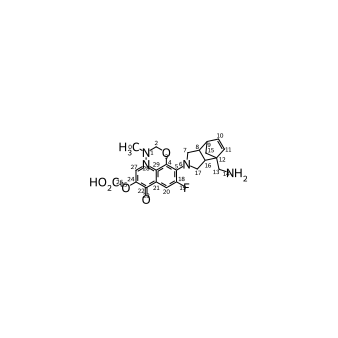 CN1COc2c(N3CC4C5C=CC(CN)(C5)C4C3)c(F)cc3c(=O)c(OC(=O)O)cn1c23